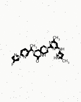 Cc1cc(Nc2cc(C)[nH]n2)nc(N2CCC3(CC2)CN(C(C)c2ccc(-n4cc(F)cn4)nc2)CC(=O)N3)n1